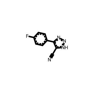 N#Cc1[nH]nnc1-c1ccc(F)cc1